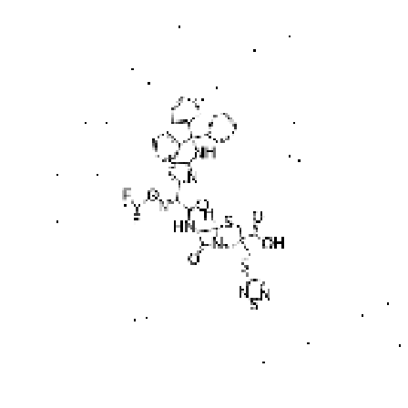 O=C(NC1C(=O)N2CC(CSc3cnsn3)(C(=O)O)CS[C@H]12)C(=NOC(F)F)c1csc(NC(c2ccccc2)(c2ccccc2)c2ccccc2)n1